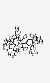 CCOC(=O)C(C(=O)OCC)(C1CC(C)(C)N(O)C(C)(C)C1)C1CC(C)(C)N(O)C(C)(C)C1